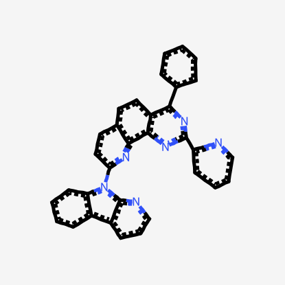 c1ccc(-c2nc(-c3ccccn3)nc3c2ccc2ccc(-n4c5ccccc5c5cccnc54)nc23)cc1